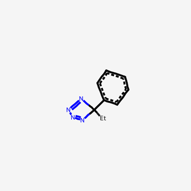 CCC1(c2ccccc2)N=NN=N1